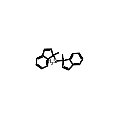 CC1([SiH2]C2(C)C=Cc3ccccc32)C=Cc2ccccc21